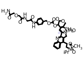 CC1=C(/C=C2/c3nc4ccccc4c(CCN(C(C)C)S(C)(=O)=O)c3CN2C=O)C(OC(=O)OCc2ccc(NC(=O)CNC(=O)COCC(N)=O)cc2)C(=O)OC1